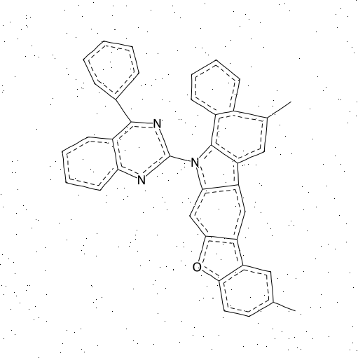 Cc1ccc2oc3cc4c(cc3c2c1)c1cc(C)c2ccccc2c1n4-c1nc(-c2ccccc2)c2ccccc2n1